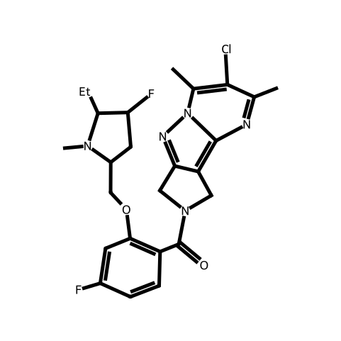 CCC1C(F)CC(COc2cc(F)ccc2C(=O)N2Cc3nn4c(C)c(Cl)c(C)nc4c3C2)N1C